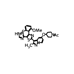 COc1cccc(F)c1-c1nc(-c2c(C)nn3ccc(OC4CCN(C(C)=O)CC4)cc23)sc1-c1nc[nH]n1